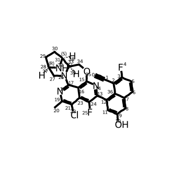 C#Cc1c(F)ccc2cc(O)cc(-c3nc4c5c(nc(C)c(Cl)c5c3F)N3C[C@H]5CC[C@H](N5)[C@H]3CO4)c12